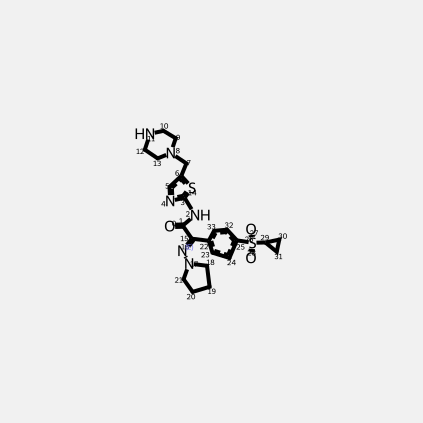 O=C(Nc1ncc(CN2CCNCC2)s1)/C(=N/N1CCCC1)c1ccc(S(=O)(=O)C2CC2)cc1